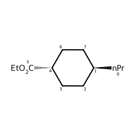 CCC[C@H]1CC[C@H](C(=O)OCC)CC1